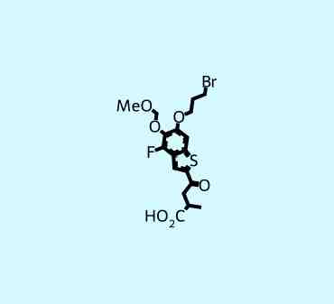 COCOc1c(OCCCBr)cc2sc(C(=O)CC(C)C(=O)O)cc2c1F